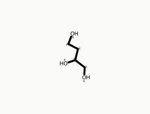 OC[CH]C(O)CO